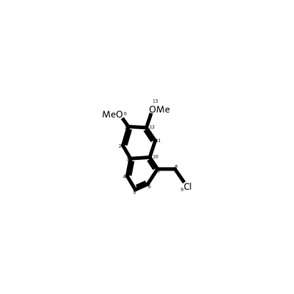 COc1cc2cccc(CCl)c2cc1OC